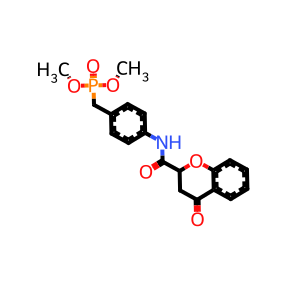 COP(=O)(Cc1ccc(NC(=O)C2CC(=O)c3ccccc3O2)cc1)OC